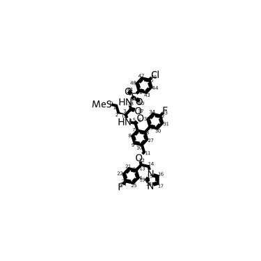 CSCC[C@H](NC(=O)c1ccc(COC(Cn2ccnc2)c2ccc(F)cc2)cc1-c1ccc(F)cc1)C(=O)NS(=O)(=O)c1ccc(Cl)cc1